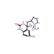 O=C1Nc2ccc(Cl)cc2C(CC2CCCN2C(=O)O)(C(F)(F)F)O1